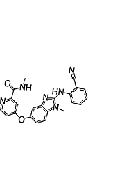 CNC(=O)c1cc(Oc2ccc3c(c2)nc(Nc2ccccc2C#N)n3C)ccn1